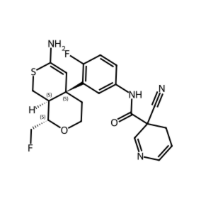 N#CC1(C(=O)Nc2ccc(F)c([C@]34C=C(N)SC[C@@H]3[C@@H](CF)OCC4)c2)C=NC=CC1